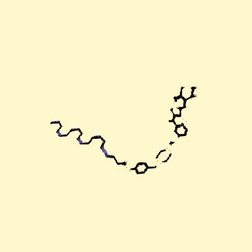 CC/C=C\C/C=C\C/C=C\C/C=C\C/C=C\C/C=C\CCC(=O)Nc1ccc(CN2CCN(C(=O)Oc3ccc4nc5c(c(CC)c4c3)Cn3c-5cc4c(c3=O)COC(=O)[C@]4(O)CC)CC2)cc1